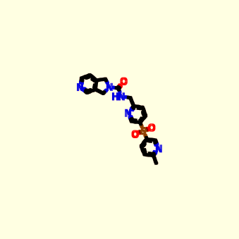 Cc1ccc(S(=O)(=O)c2ccc(CNC(=O)N3Cc4ccncc4C3)nc2)cn1